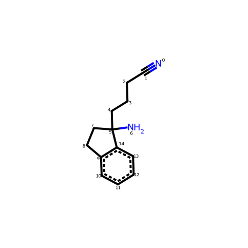 N#CCCCC1(N)CCc2ccccc21